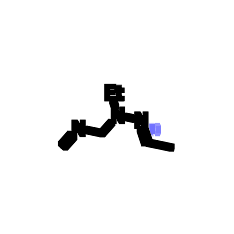 C=NCN(CC)/N=C/C